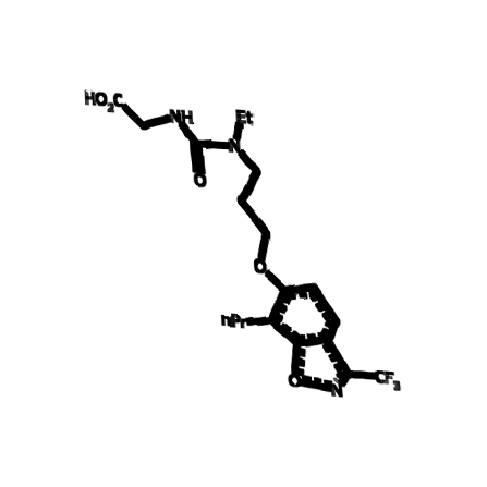 CCCc1c(OCCCN(CC)C(=O)NCC(=O)O)ccc2c(C(F)(F)F)noc12